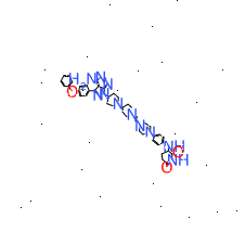 Nc1ncnc2c1c(-c1ccc(Oc3ccccc3)cc1)nn2C1CCN(C2CCN(CCN3CCN(c4ccc(NC5CCC(=O)NC5=O)cc4)CC3)CC2)CC1